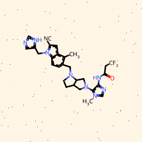 Cc1c(CN2CCC3CN(c4c(NC(=O)CC(F)(F)F)ncn4C)CC32)ccc2c1cc(C#N)n2Cc1cnc[nH]1